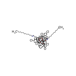 CCCCCCCCCCCC/C=C/CCC(Cl)CN(c1ccccc1N1C(=O)CCC1=O)c1[nH]n(-c2c(Cl)cc(Cl)cc2Cl)c(=O)c1C(c1ccc(Cl)cc1Cl)c1c(N(CC(Cl)CC/C=C/CCCCCCCCCCCC)c2ccccc2N2C(=O)CCC2=O)[nH]n(-c2c(Cl)cc(Cl)cc2Cl)c1=O